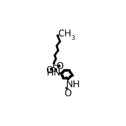 CCCCCCCCS(=O)(=O)Nc1cccc(NC=O)c1